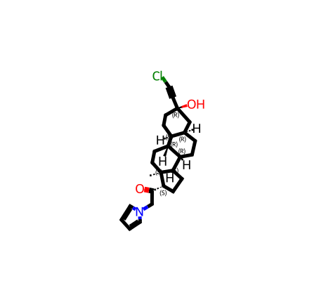 C[C@]12CC[C@H]3[C@@H](CC[C@@H]4C[C@@](O)(C#CCl)CC[C@@H]43)[C@@H]1CC[C@@H]2C(=O)Cn1cccc1